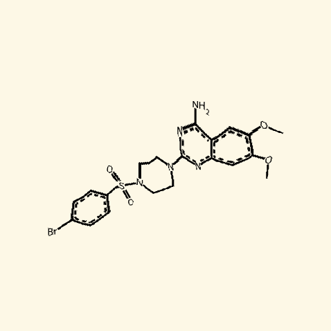 COc1cc2nc(N3CCN(S(=O)(=O)c4ccc(Br)cc4)CC3)nc(N)c2cc1OC